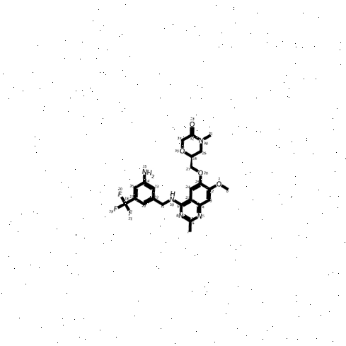 COc1cc2nc(C)nc(NCc3cc(N)cc(C(F)(F)F)c3)c2cc1OC[C@@H]1CN(C)C(=O)CO1